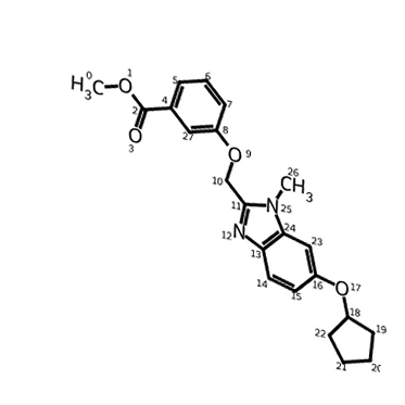 COC(=O)c1cccc(OCc2nc3ccc(OC4CCCC4)cc3n2C)c1